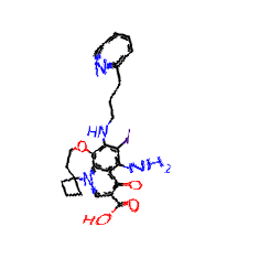 Nc1c(I)c(NCCCc2ccccn2)c2c3c1c(=O)c(C(=O)O)cn3C1(CCC1)CCO2